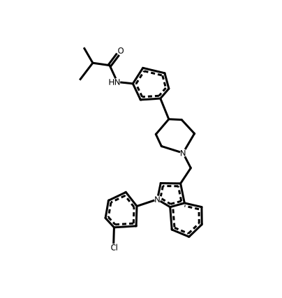 CC(C)C(=O)Nc1cccc(C2CCN(Cc3cn(-c4cccc(Cl)c4)c4ccccc34)CC2)c1